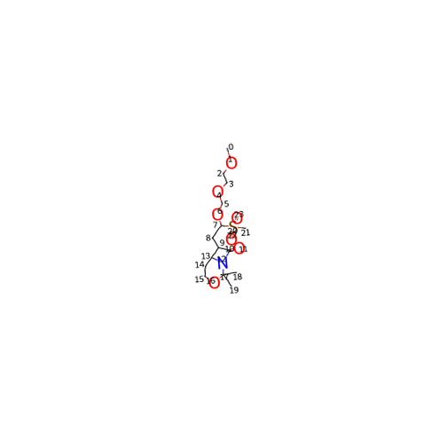 COCCOCOC(CC1C(=O)N2C1CCOC2(C)C)S(C)(=O)=O